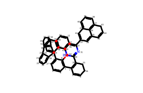 C1=CC(c2cccc3c2Oc2ccccc2C32C3=C(CCC=C3)c3ccccc32)=C(C2=NC(c3cc4c5c(cccc5c3)CC=C4)=CC(c3ccccc3)N2)CC1